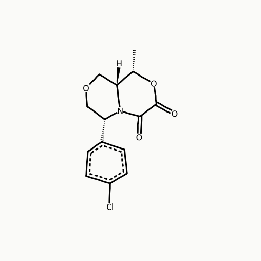 C[C@@H]1OC(=O)C(=O)N2[C@@H]1COC[C@H]2c1ccc(Cl)cc1